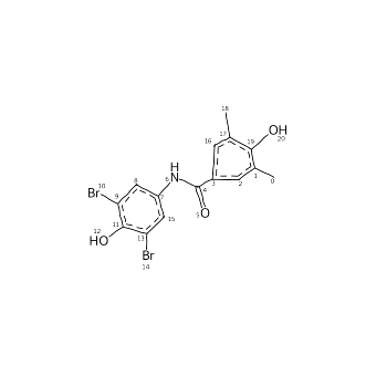 Cc1cc(C(=O)Nc2cc(Br)c(O)c(Br)c2)cc(C)c1O